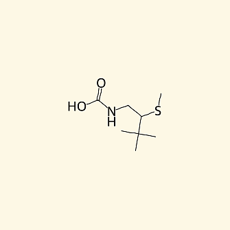 CSC(CNC(=O)O)C(C)(C)C